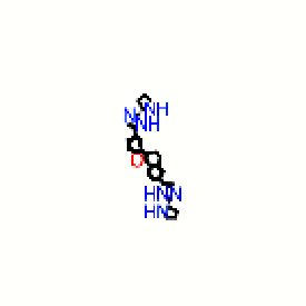 c1cc2c(cc1-c1cnc([C@@H]3CCCN3)[nH]1)CCc1c-2oc2ccc(-c3cnc([C@@H]4CCCN4)[nH]3)cc12